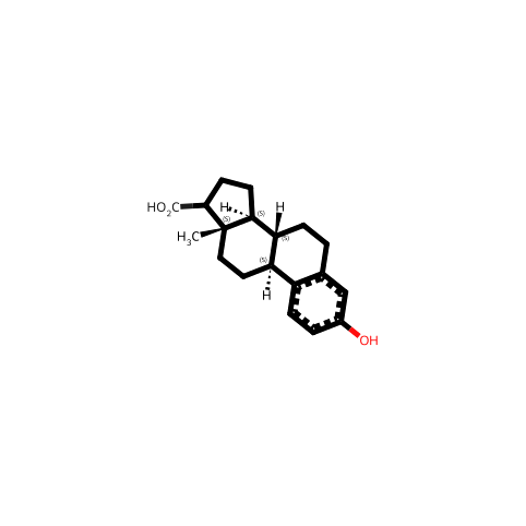 C[C@]12CC[C@@H]3c4ccc(O)cc4CC[C@H]3[C@@H]1CCC2C(=O)O